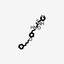 O=C(NCCc1ccc(OCCCCc2ccccc2)cc1)C1CSC(c2cccnc2)N1